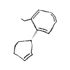 Cc1ccccc1[C@@H]1C=CCC1